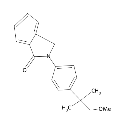 COCC(C)(C)c1ccc(N2Cc3ccccc3C2=O)cc1